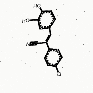 N#CC(=Cc1ccc(O)c(O)c1)c1ccc(Cl)cc1